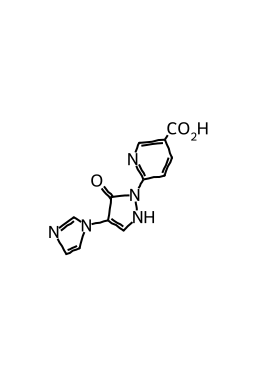 O=C(O)c1ccc(-n2[nH]cc(-n3ccnc3)c2=O)nc1